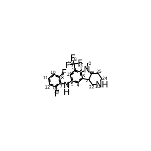 CN1c2c(cc(Nc3c(F)cccc3F)cc2C(F)(F)F)C2CNCCC21